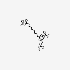 CSC(=O)OCC(COC(=O)SC)OC(=O)CCCCCCCCC(=O)OC(C)Cl